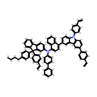 C=Cc1ccc(-c2ccc3c(c2)c2cc(-c4ccc(N(c5ccc(-c6ccccc6)cc5)c5ccc6c(c5)C(c5ccc(C=C)cc5)(c5ccc(CCCC)cc5)c5ccccc5-6)c5ccccc45)ccc2n3-c2ccc(C=C)cc2)cc1